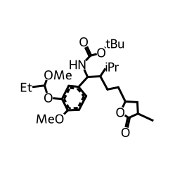 CCC(OC)Oc1cc(C(NC(=O)OC(C)(C)C)C(CCC2CC(C)C(=O)O2)C(C)C)ccc1OC